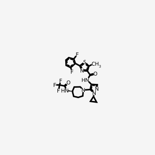 Cc1sc(-c2c(F)cccc2F)nc1C(=O)Nc1cnn(C2CC2)c1N1CCC[C@@H](NC(=O)C(F)(F)F)CC1